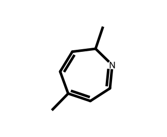 CC1=CC=NC(C)C=C1